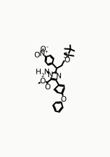 COC(=O)c1c(-c2ccc(Oc3ccccc3)cc2)nc(C(CCO[Si](C)(C)C(C)(C)C)c2ccc([N+](=O)[O-])cc2)n1N